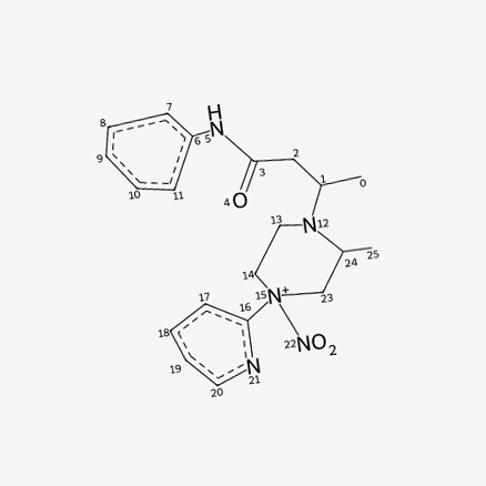 CC(CC(=O)Nc1ccccc1)N1CC[N+](c2ccccn2)([N+](=O)[O-])CC1C